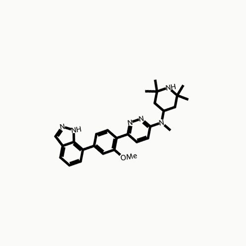 COc1cc(-c2cccc3cn[nH]c23)ccc1-c1ccc(N(C)C2CC(C)(C)NC(C)(C)C2)nn1